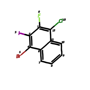 Fc1c(I)c(Br)c2ccccc2c1Cl